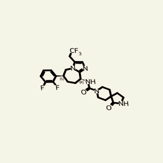 O=C(N[C@@H]1CC[C@@H](c2cccc(F)c2F)Cn2c(CC(F)(F)F)cnc21)N1CCC2(CCNC2=O)CC1